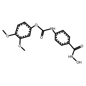 COc1ccc(OC(=O)Nc2ccc(C(=O)NO)cc2)cc1OC